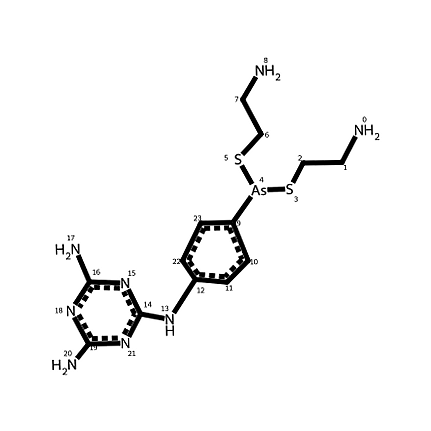 NCCS[As](SCCN)c1ccc(Nc2nc(N)nc(N)n2)cc1